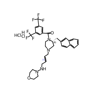 Cl.Cl.O=C(c1cc(C(F)(F)F)cc(C(F)(F)F)c1)N1CCN(C/C=C/CNN2CCOCC2)C[C@H]1Cc1ccc2ccccc2c1